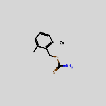 Cc1ccccc1CSC(N)=S.[Zn]